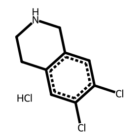 Cl.Clc1cc2c(cc1Cl)CNCC2